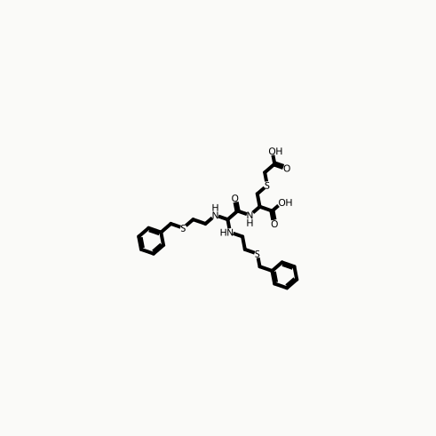 O=C(O)CSCC(NC(=O)C(NCCSCc1ccccc1)NCCSCc1ccccc1)C(=O)O